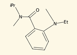 CCN(C)c1ccccc1C(=O)N(C)C(C)C